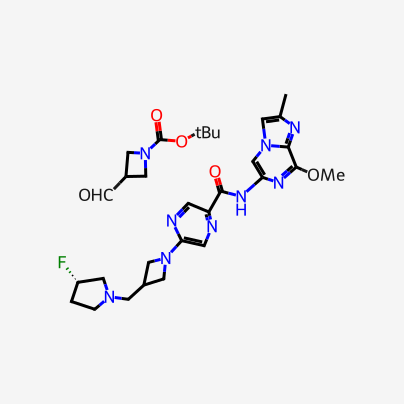 CC(C)(C)OC(=O)N1CC(C=O)C1.COc1nc(NC(=O)c2cnc(N3CC(CN4CC[C@H](F)C4)C3)cn2)cn2cc(C)nc12